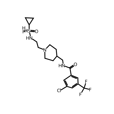 O=C(NCC1CCN(CCN[SH](=O)(P)C2CC2)CC1)c1cc(Cl)cc(C(F)(F)F)c1